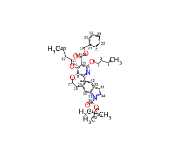 CCCCOc1nc2c(c(OCCCC)c1C(=O)OCc1ccccc1)OCCc1cc3c(ccn3C(=O)OC(C)(C)C)cc1-2